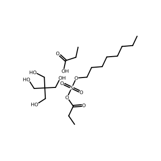 CCC(=O)O.CCCCCCCCOS(=O)(=O)OC(=O)CC.OCC(CO)(CO)CO